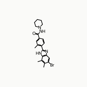 Cc1cc(C(=O)NN2CCCCC2)ccc1-c1nc2cc(Br)c(C)c(C)c2[nH]1